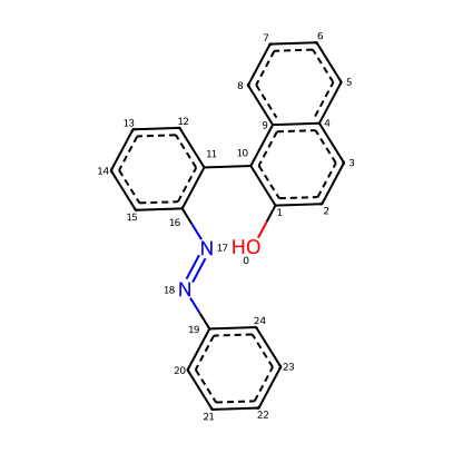 Oc1ccc2ccccc2c1-c1ccccc1N=Nc1ccccc1